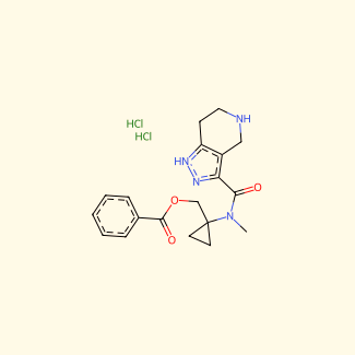 CN(C(=O)c1n[nH]c2c1CNCC2)C1(COC(=O)c2ccccc2)CC1.Cl.Cl